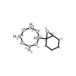 C1CCC2([SiH]3O[SiH2]O[SiH2]O[SiH2]O3)OC2C1